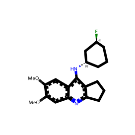 COc1cc2nc3c(c(N[C@H]4CCC[C@H](F)C4)c2cc1OC)CCC3